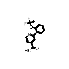 O=C(O)c1ccnc(-c2ccccc2OC(F)(F)F)c1